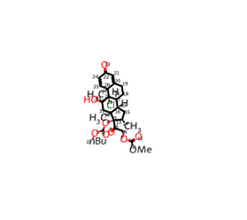 CCCCOC(=O)O[C@]1(C(=O)COC(=O)OC)[C@H](C)C[C@H]2[C@@H]3CCC4=CC(=O)C=C[C@]4(C)[C@@]3(Cl)C(O)C[C@@]21C